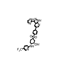 O=S(=O)(c1ccc(-c2cnc3[nH]nc(-c4ncc[nH]4)c3c2)cc1)N1CC[C@@H](Nc2ccc(C(F)(F)F)cn2)[C@@H](O)C1